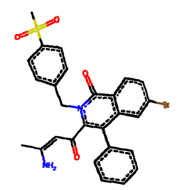 C/C(N)=C/C(=O)c1c(-c2ccccc2)c2cc(Br)ccc2c(=O)n1Cc1ccc(S(C)(=O)=O)cc1